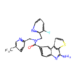 Nc1nc2ccc(C(=O)N(Cc3ccc(C(F)(F)F)cn3)Cc3ncccc3F)cc2c2ccsc12